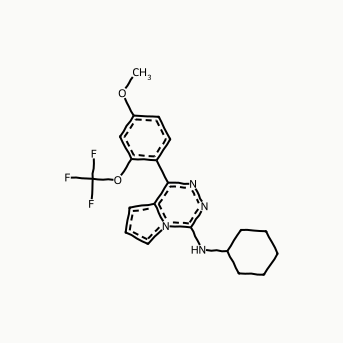 COc1ccc(-c2nnc(NC3CCCCC3)n3cccc23)c(OC(F)(F)F)c1